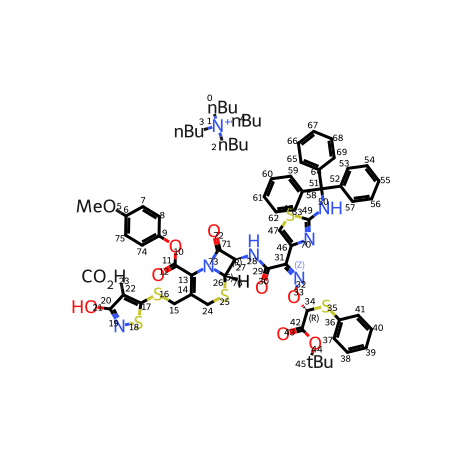 CCCC[N+](CCCC)(CCCC)CCCC.COc1ccc(OC(=O)C2=C(CSc3snc(O)c3C(=O)O)CS[C@H]3[C@H](NC(=O)/C(=N\O[C@H](Sc4ccccc4)C(=O)OC(C)(C)C)c4csc(NC(c5ccccc5)(c5ccccc5)c5ccccc5)n4)C(=O)N23)cc1